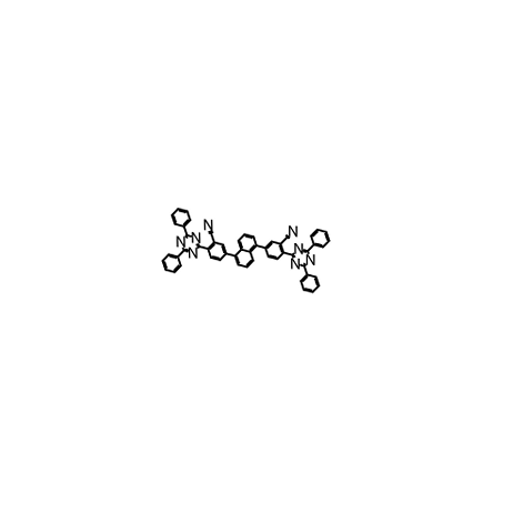 N#Cc1cc(-c2cccc3c(-c4ccc(-c5nc(-c6ccccc6)nc(-c6ccccc6)n5)c(C#N)c4)cccc23)ccc1-c1nc(-c2ccccc2)nc(-c2ccccc2)n1